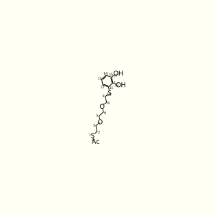 CC(=O)SCCOCCOCCSc1cccc(O)c1O